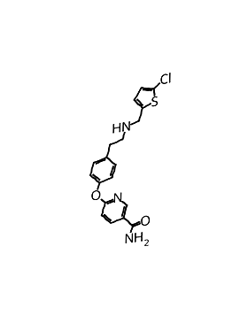 NC(=O)c1ccc(Oc2ccc(CCNCc3ccc(Cl)s3)cc2)nc1